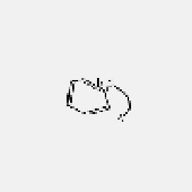 C[CH2][K].c1ccccc1